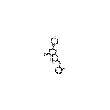 Cc1ccccc1NC(=O)Cc1nc(N2CCOCC2)cc(=O)[nH]1